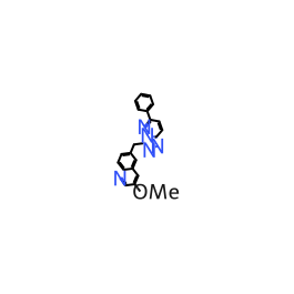 COc1cnc2ccc(Cc3nnc4ccc(-c5ccccc5)nn34)cc2c1